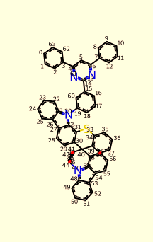 c1ccc(-c2cc(-c3ccccc3)nc(-c3cccc(-n4c5ccccc5c5ccc6c(c54)Sc4ccccc4C64c5ccccc5-n5c6ccccc6c6cccc4c65)c3)n2)cc1